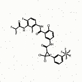 O=C(Nc1ccc(F)c(NC(=O)C(F)F)c1F)c1cc(NC(=O)C2[C@@H](c3cccc(S(F)(F)(F)(F)F)c3)C2(Cl)Cl)ccc1Cl